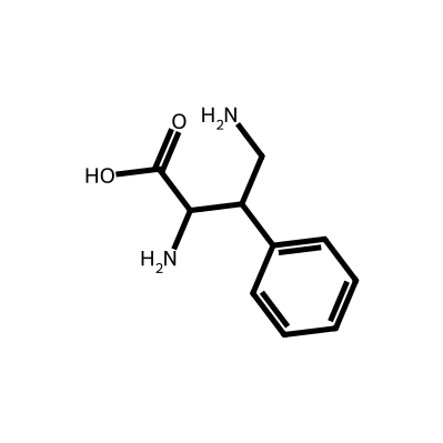 NCC(c1ccccc1)C(N)C(=O)O